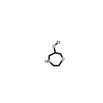 CCOC1CNCCOC1